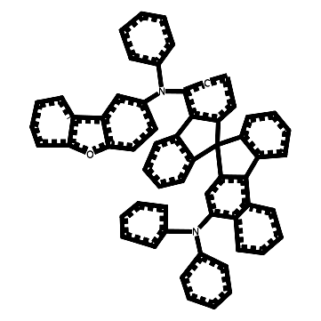 c1ccc(N(c2ccc3oc4ccccc4c3c2)c2cccc3c2-c2ccccc2C32c3ccccc3-c3c2cc(N(c2ccccc2)c2ccccc2)c2ccccc32)cc1